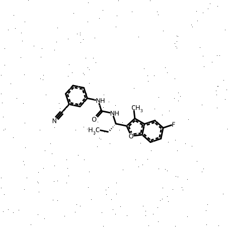 CC[C@H](NC(=O)Nc1cccc(C#N)c1)c1oc2ccc(F)cc2c1C